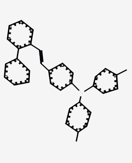 Cc1ccc(N(c2ccc(C)cc2)c2ccc(/C=C/c3ccccc3-c3ccccc3)cc2)cc1